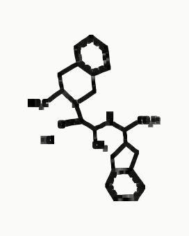 CCOC(=O)C(NC(C)C(=O)N1Cc2ccccc2CC1C(=O)O)C1Cc2ccccc2C1.Cl